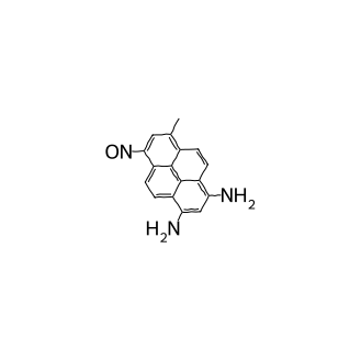 Cc1cc(N=O)c2ccc3c(N)cc(N)c4ccc1c2c43